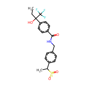 CCC(O)(c1ccc(C(=O)NCc2ccc(C(C)[SH](=O)=O)cc2)cc1)C(F)(F)F